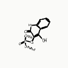 COP(=O)(OC)Oc1c(O)c2ccccc2[nH]c1=O